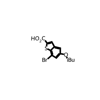 CCC(C)Oc1cc(Br)c2sc(C(=O)O)cc2c1